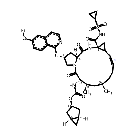 CCOc1ccc2c(O[C@@H]3C[C@H]4C(=O)N[C@]5(C(=O)NS(=O)(=O)C6CC6)CC5/C=C\CC[C@@H](C)C[C@@H](C)[C@H](NC(=O)O[C@@H]5C[C@@H]6C[C@@H]6C5)C(=O)N4C3)nccc2c1